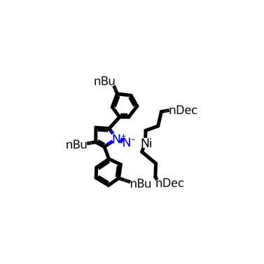 CCCCC1=C(c2cccc(CCCC)c2)[N+](=[N-])C(c2cccc(CCCC)c2)=C1.CCCCCCCCCCCC[CH2][Ni][CH2]CCCCCCCCCCCC